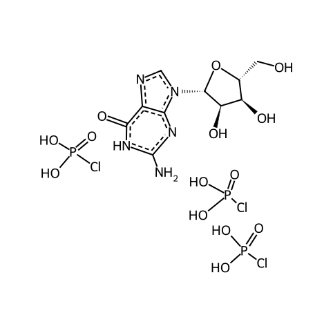 Nc1nc2c(ncn2[C@@H]2O[C@H](CO)[C@@H](O)[C@H]2O)c(=O)[nH]1.O=P(O)(O)Cl.O=P(O)(O)Cl.O=P(O)(O)Cl